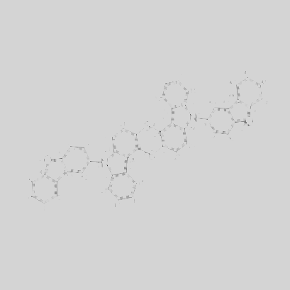 c1ccc2c(c1)oc1ccc(-n3c4ccccc4c4c5c(ccc43)Sc3c(ccc4c3c3ccccc3n4-c3ccc4oc6ccccc6c4c3)S5)cc12